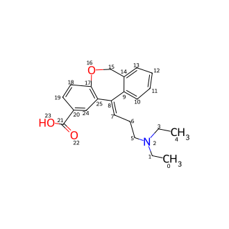 CCN(CC)CC/C=C1\c2ccccc2COc2ccc(C(=O)O)cc21